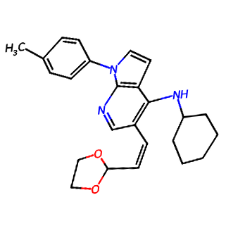 Cc1ccc(-n2ccc3c(NC4CCCCC4)c(/C=C\C4OCCO4)cnc32)cc1